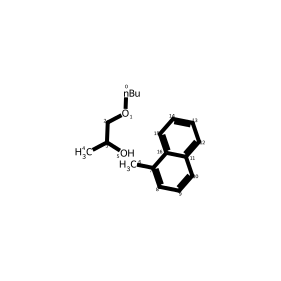 CCCCOCC(C)O.Cc1cccc2ccccc12